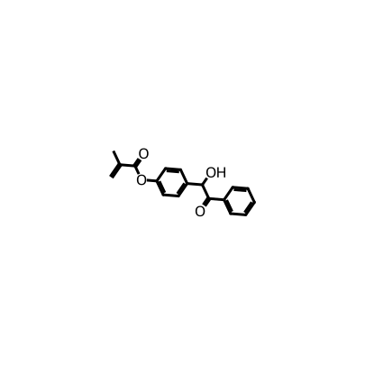 C=C(C)C(=O)Oc1ccc(C(O)C(=O)c2ccccc2)cc1